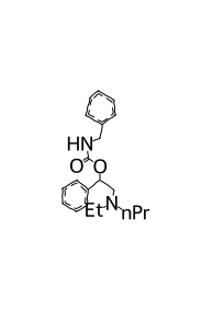 CCCN(CC)CC(OC(=O)NCc1ccccc1)c1ccccc1